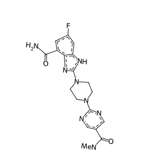 CNC(=O)c1cnc(N2CCN(c3nc4c(C(N)=O)cc(F)cc4[nH]3)CC2)nc1